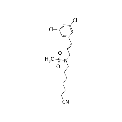 CS(=O)(=O)N(CC=Cc1cc(Cl)cc(Cl)c1)CCCCCCC#N